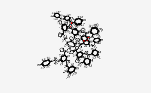 O=C(OC[C@H]1OC(OC(=O)c2cc(OCc3ccccc3)cc(OCc3ccccc3)c2)[C@H](OC(=O)c2cc(OCc3ccccc3)cc(OCc3ccccc3)c2)[C@@H](OC(=O)c2cc(OCc3ccccc3)cc(OCc3ccccc3)c2)[C@@H]1OC(=O)c1cc(OCc2ccccc2)cc(OCc2ccccc2)c1)c1cc(OCc2ccccc2)cc(OCc2ccccc2)c1